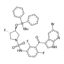 CC(C)(C)[Si](O[C@H]1CN(S(=O)(=O)Nc2ccc(F)c(C(=O)c3c[nH]c4ncc(Br)cc34)c2F)C[C@@H]1F)(c1ccccc1)c1ccccc1